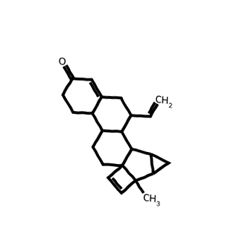 C=CC1CC2=CC(=O)CCC2C2CCC34C=CC3(C)C3CC3C4C12